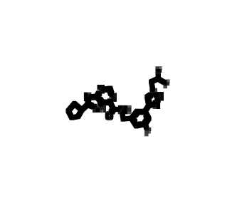 O=C(NCc1cc(F)cc(-c2cn(CC(F)F)nn2)c1)c1ncnc2nc(C3CCCC3)[nH]c12